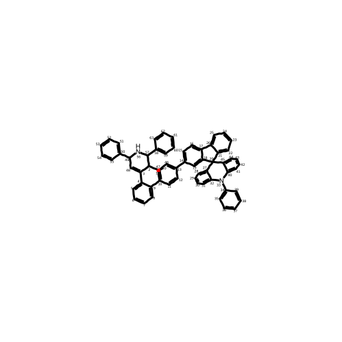 CCC1C(c2ccccc2-c2ccc(-c3ccc4c(c3)C3(c5ccccc5-4)c4ccccc4N(c4ccccc4)c4ccccc43)cc2)=CC(c2ccccc2)NC1c1ccccc1